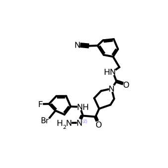 N#Cc1cccc(CNC(=O)N2CCC(C(=O)/C(=N/N)Nc3ccc(F)c(Br)c3)CC2)c1